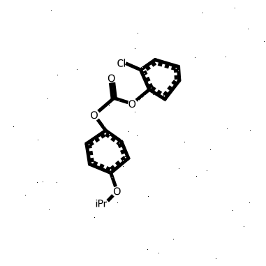 CC(C)Oc1ccc(OC(=O)Oc2ccccc2Cl)cc1